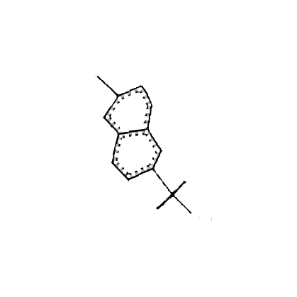 O=C(O)C(F)(F)c1ccc2cc(Cl)ccc2c1